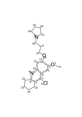 COc1cc2c(Cl)c3c(nc2cc1OCCCN1CCCC1)CCCC3